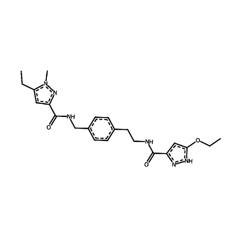 CCOc1cc(C(=O)NCCc2ccc(CNC(=O)c3cc(CC)n(C)n3)cc2)n[nH]1